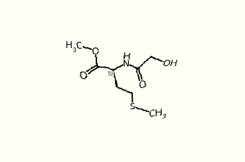 COC(=O)[C@H](CCSC)NC(=O)CO